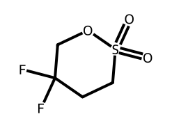 O=S1(=O)CCC(F)(F)CO1